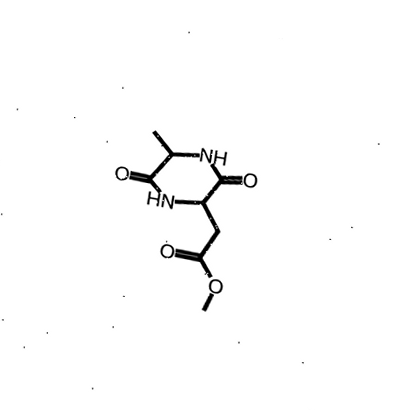 COC(=O)CC1NC(=O)C(C)NC1=O